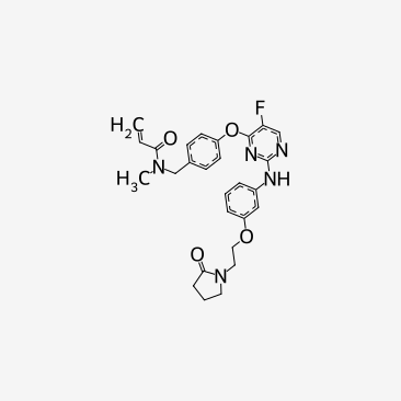 C=CC(=O)N(C)Cc1ccc(Oc2nc(Nc3cccc(OCCN4CCCC4=O)c3)ncc2F)cc1